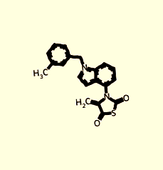 C=C1C(=O)SC(=O)N1c1cccc2c1ccn2Cc1cccc(C)c1